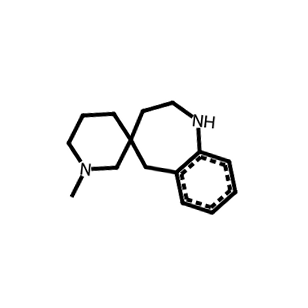 CN1CCCC2(CCNc3ccccc3C2)C1